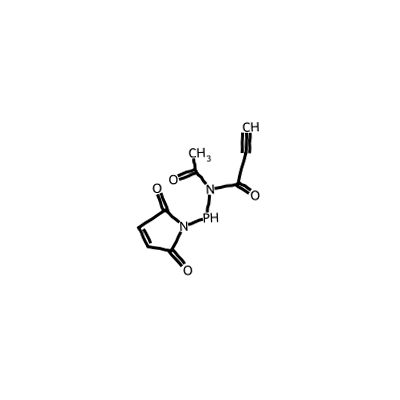 C#CC(=O)N(PN1C(=O)C=CC1=O)C(C)=O